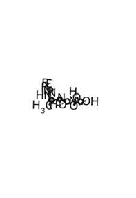 Cc1cc(Nc2nccc(C(F)(F)F)n2)cc(-c2cnc([C@]3(O)CC[C@H](NC(=O)C4=CC=C(O)CC4=O)CC3)s2)c1